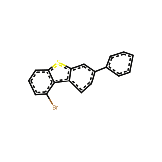 Brc1cccc2sc3cc(-c4ccccc4)ccc3c12